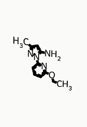 CCOc1cccc(-n2nc(C)cc2N)n1